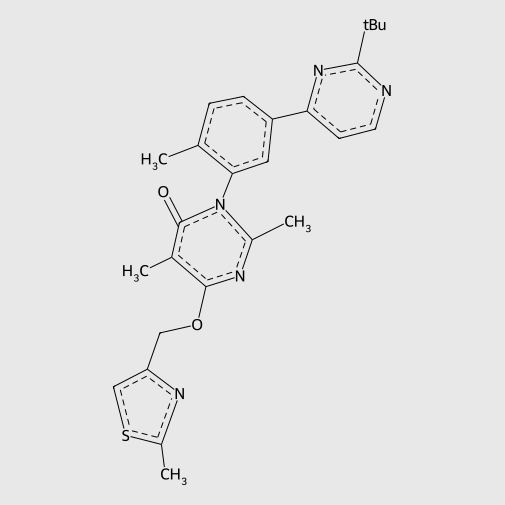 Cc1nc(COc2nc(C)n(-c3cc(-c4ccnc(C(C)(C)C)n4)ccc3C)c(=O)c2C)cs1